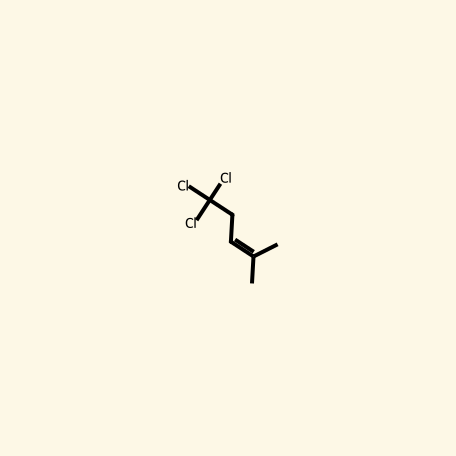 CC(C)=CCC(Cl)(Cl)Cl